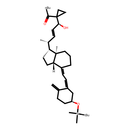 C=C1CC[C@H](O[Si](C)(C)C(C)(C)C)C/C1=C/C=C1\CCC[C@]2(C)[C@@H]([C@H](C)/C=C/[C@H](O)C3(C(=O)CCCC)CC3)CC[C@@H]12